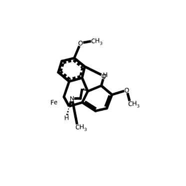 COC1=CC=C2[C@H]3Cc4ccc(OC)c5c4[C@@]2(CCN3C)[C@H]1O5.[Fe]